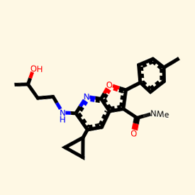 CNC(=O)c1c(-c2ccc(C)cc2)oc2nc(NCCC(C)O)c(C3CC3)cc12